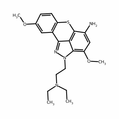 CCN(CC)CCn1nc2c3c(c(N)cc(OC)c31)Sc1ccc(OC)cc1-2